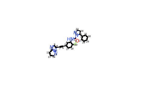 O=C(Nc1cc(C#Cc2cnc3cccnn23)ccc1F)N1N=CCC1c1ccccc1